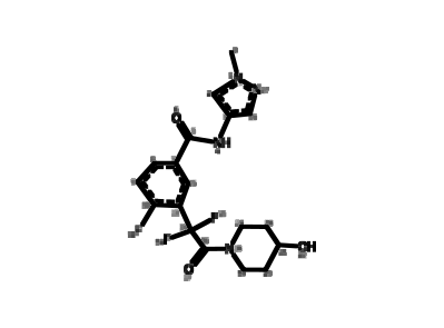 Cn1cc(NC(=O)c2ccc(F)c(C(F)(F)C(=O)N3CCC(O)CC3)c2)cn1